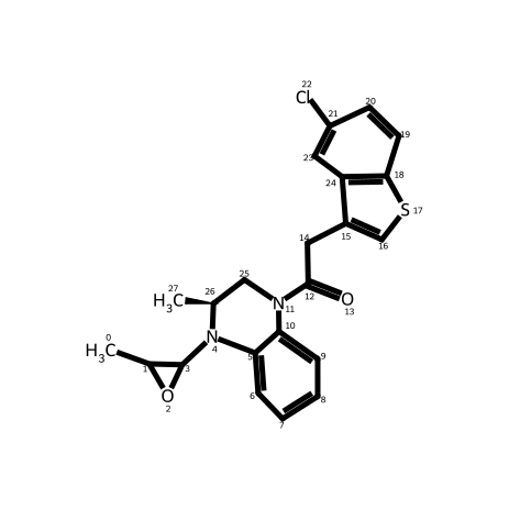 CC1OC1N1c2ccccc2N(C(=O)Cc2csc3ccc(Cl)cc23)C[C@@H]1C